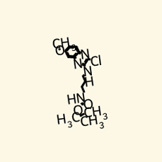 COc1ccc2nc(Cl)c(NCCCCNC(=O)OC(C)(C)C)nc2c1